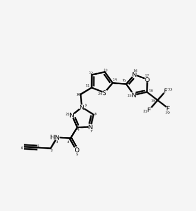 C#CCNC(=O)c1ncn(Cc2ccc(-c3noc(C(F)(F)F)n3)s2)n1